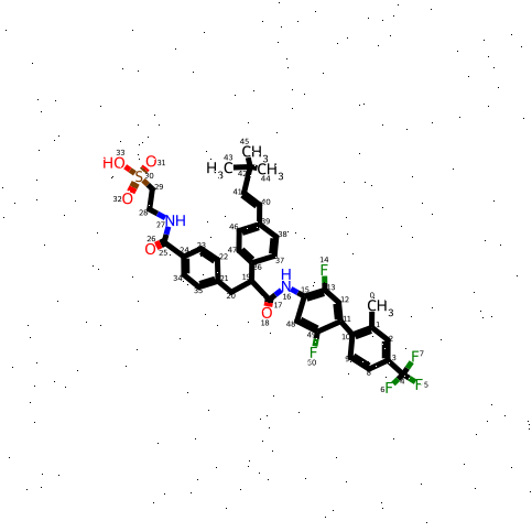 Cc1cc(C(F)(F)F)ccc1-c1cc(F)c(NC(=O)C(Cc2ccc(C(=O)NCCS(=O)(=O)O)cc2)c2ccc(/C=C/C(C)(C)C)cc2)cc1F